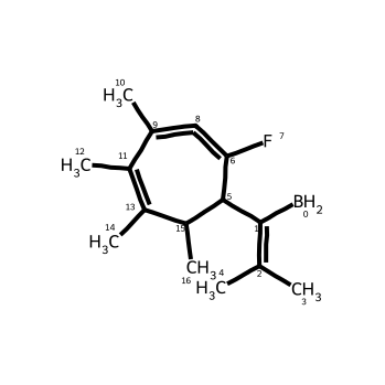 BC(=C(C)C)C1C(F)=C=C(C)C(C)=C(C)C1C